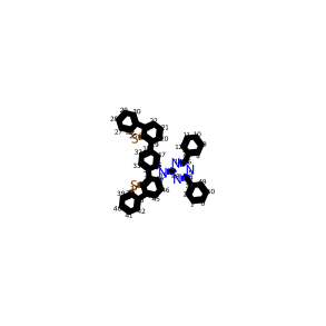 c1ccc(-c2nc(-c3ccccc3)nc(-n3c4cc(-c5cccc6c5sc5ccccc56)ccc4c4c5sc6ccccc6c5ccc43)n2)cc1